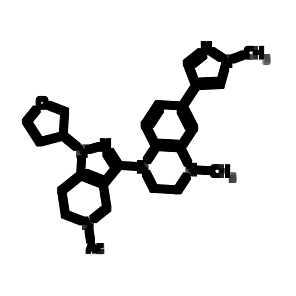 CC(=O)N1CCc2c(c(N3CCN(C)c4cc(-c5cnn(C)c5)ccc43)nn2C2CCOC2)C1